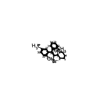 CC[N+]1(C)CCCCC1/C=C(\c1ccccc1)c1cc(C)ccc1O.[Br-]